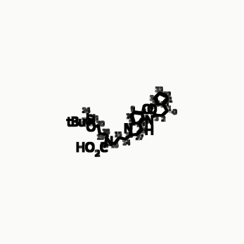 C[C@H](CC(=O)Nc1c(Cl)ccc2nc(CCCN(CCCO[Si](C)(C)C(C)(C)C)C(=O)O)ccc12)c1ccccc1